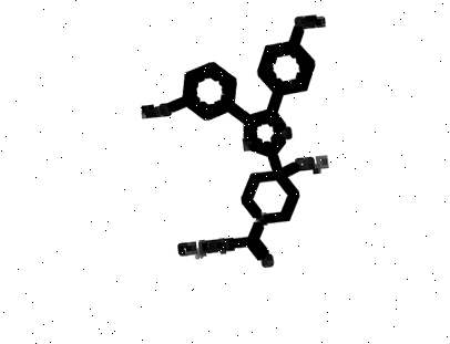 COc1ccc(-c2oc(C3(C(=O)O)CCN(C(=O)N(C)O)CC3)nc2-c2cccc(OC)c2)cc1